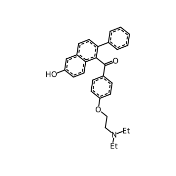 CCN(CC)CCOc1ccc(C(=O)c2c(-c3ccccc3)ccc3cc(O)ccc23)cc1